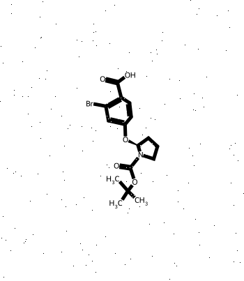 CC(C)(C)OC(=O)N1CCC[C@@H]1Oc1ccc(C(=O)O)c(Br)c1